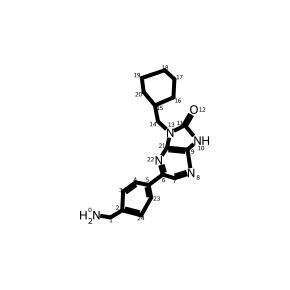 NCc1ccc(-c2cnc3[nH]c(=O)n(CC4CCCCC4)c3n2)cc1